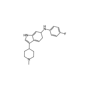 CN1CCC(c2c[nH]c3c2=CCC(Nc2ccc(F)cc2)C=3)CC1